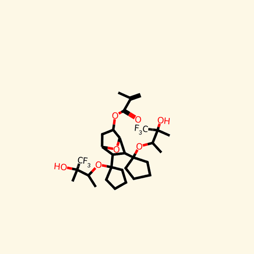 C=C(C)C(=O)OC1CC2OC1C(C1(OC(C)C(C)(O)C(F)(F)F)CCCC1)C2C1(OC(C)C(C)(O)C(F)(F)F)CCCC1